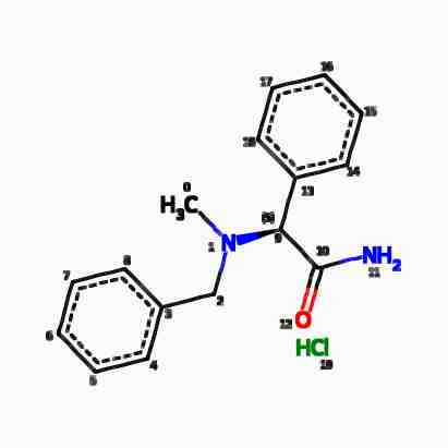 CN(Cc1ccccc1)[C@H](C(N)=O)c1ccccc1.Cl